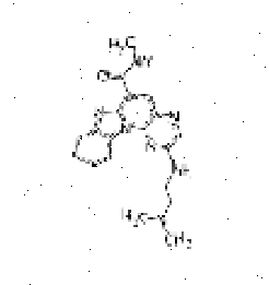 CNC(=O)c1cc2ncc(NCCN(C)C)nc2n2c1nc1ccccc12